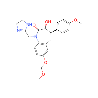 COCOc1ccc2c(c1)C[C@H](c1ccc(OC)cc1)[C@H](O)C(=O)N2CC1=NCCN1